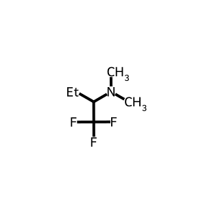 CCC(N(C)C)C(F)(F)F